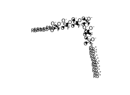 [O-][Si]([O-])([O-])F.[O-][Si]([O-])([O-])F.[O-][Si]([O-])([O-])F.[O-][Si]([O-])([O-])F.[O-][Si]([O-])([O-])F.[O-][Si]([O-])([O-])F.[Rb+].[Rb+].[Rb+].[Rb+].[Rb+].[Rb+].[Rb+].[Rb+].[Rb+].[Rb+].[Rb+].[Rb+].[Rb+].[Rb+].[Rb+].[Rb+].[Rb+].[Rb+]